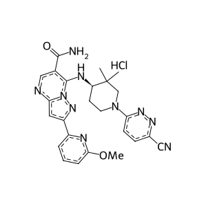 COc1cccc(-c2cc3ncc(C(N)=O)c(N[C@@H]4CCN(c5ccc(C#N)nn5)CC4(C)C)n3n2)n1.Cl